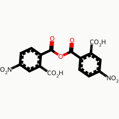 O=C(O)c1cc([N+](=O)[O-])ccc1C(=O)OC(=O)c1ccc([N+](=O)[O-])cc1C(=O)O